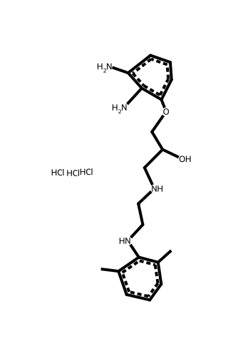 Cc1cccc(C)c1NCCNCC(O)COc1cccc(N)c1N.Cl.Cl.Cl